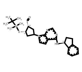 CC(C)(C)[Si](C)(C)O[C@H]1CC(n2ccc3c(N[C@H]4CCc5ccccc54)ncnc32)C[C@H]1C=O